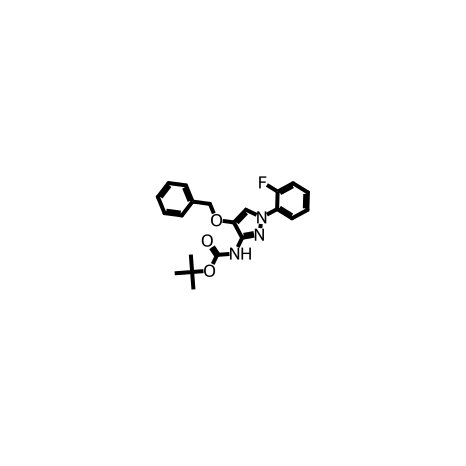 CC(C)(C)OC(=O)Nc1nn(-c2ccccc2F)cc1OCc1ccccc1